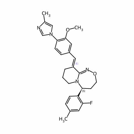 COc1cc(/C=C2\CCCN3C2=NOCC[C@H]3c2ccc(C)cc2F)ccc1-n1cnc(C)c1